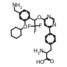 NCc1ccc(C(Oc2cc(-c3ccc(CC(N)C(=O)O)cc3)ncn2)C(F)(F)F)c(OC2CCCCC2)c1